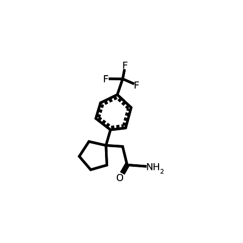 NC(=O)CC1(c2ccc(C(F)(F)F)cc2)CCCC1